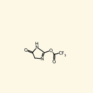 O=C1CN=C(OC(=O)C(F)(F)F)N1